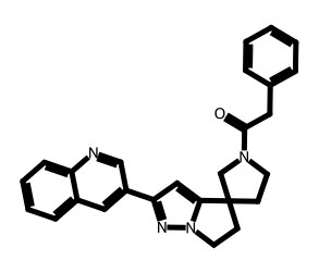 O=C(Cc1ccccc1)N1CCC2(CCn3nc(-c4cnc5ccccc5c4)cc32)C1